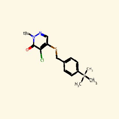 CC(C)(C)n1ncc(SCc2ccc([Si](C)(C)C)cc2)c(Cl)c1=O